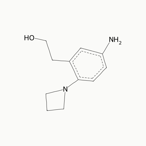 Nc1ccc(N2CCC2)c(CCO)c1